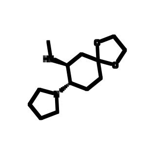 CN[C@H]1CC2(CC[C@@H]1N1CCCC1)OCCO2